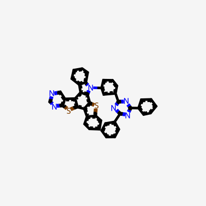 c1ccc(-c2nc(-c3ccccc3)nc(-c3cccc(-n4c5ccccc5c5c6c7cncnc7sc6c6c7ccccc7sc6c54)c3)n2)cc1